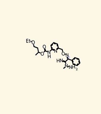 CCOCCC(C)OC(=O)Nc1cccc(CO/N=C(\C(=N)N(C)N)c2ccccc2)n1